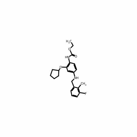 CCOC(=O)Nc1ccc(NCc2cccc(F)c2C)cc1OC1CCCC1